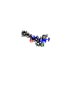 N=C(/C=C(\Nc1ccccc1Cl)c1ccc(C(=O)NCCSCc2ccccc2)cc1)C(F)(F)F